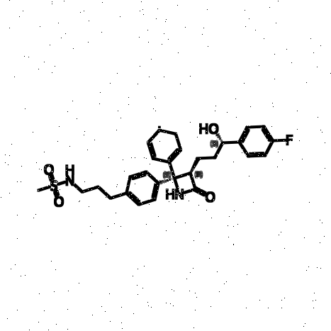 CS(=O)(=O)NCCCc1ccc([C@@]2(C3=CC[CH]C=C3)NC(=O)[C@@H]2CC[C@H](O)c2ccc(F)cc2)cc1